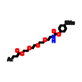 CSC1CCC(OC(=O)NCCOCCOCCOCCOC(=O)CCC(C)=O)CC1